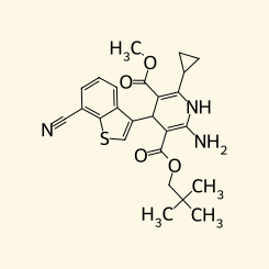 COC(=O)C1=C(C2CC2)NC(N)=C(C(=O)OCC(C)(C)C)C1c1csc2c(C#N)cccc12